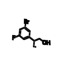 [CH2]C(CO)c1cc(F)cc(Br)c1